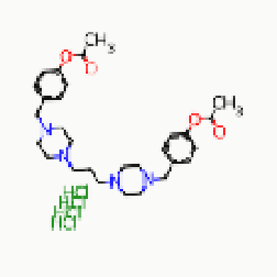 CC(=O)Oc1ccc(CN2CCN(CCCN3CCN(Cc4ccc(OC(C)=O)cc4)CC3)CC2)cc1.Cl.Cl.Cl.Cl